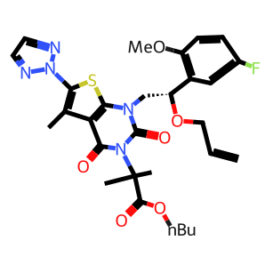 C=CCO[C@H](Cn1c(=O)n(C(C)(C)C(=O)OCCCC)c(=O)c2c(C)c(-n3nccn3)sc21)c1cc(F)ccc1OC